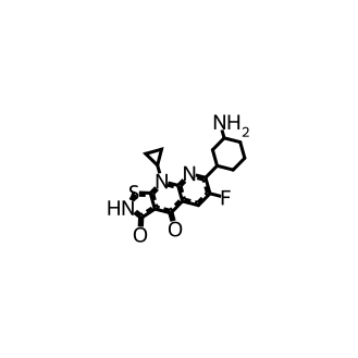 NC1CCCC(c2nc3c(cc2F)c(=O)c2c(=O)[nH]sc2n3C2CC2)C1